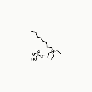 CCCCCCCC[N+](CC)(CC)CC.[O-][Cl+3]([O-])([O-])O